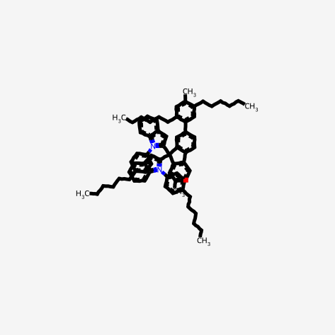 CCCCCCc1ccc(-n2c(C3(c4cc5ccccc5n4-c4ccc(CCCCCC)cc4)c4cc(C)ccc4-c4ccc(-c5cc(CCCCCC)c(C)cc5CCCCCC)cc43)cc3ccccc32)cc1